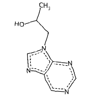 CC(O)Cn1cnc2cncnc21